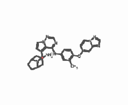 Cc1cc(Nc2ncnn3ccc(CN4C5CCC4CC(N)C5)c23)ccc1Oc1ccn2ncnc2c1